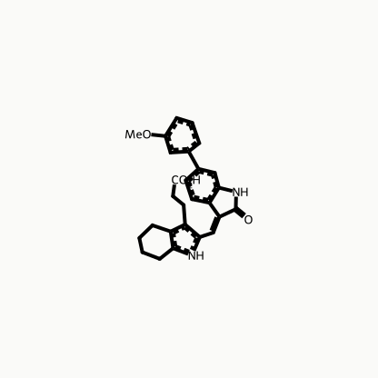 COc1cccc(-c2ccc3c(c2)NC(=O)C3=Cc2[nH]c3c(c2CCC(=O)O)CCCC3)c1